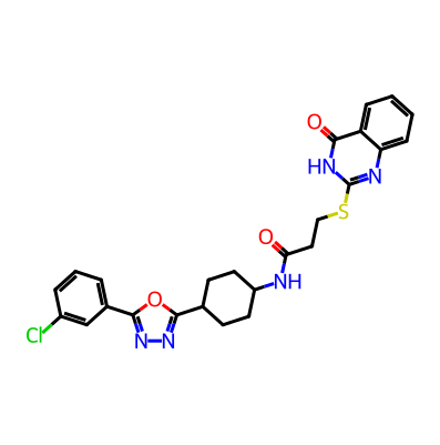 O=C(CCSc1nc2ccccc2c(=O)[nH]1)NC1CCC(c2nnc(-c3cccc(Cl)c3)o2)CC1